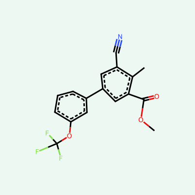 COC(=O)c1cc(-c2cccc(OC(F)(F)F)c2)cc(C#N)c1C